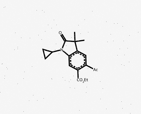 CCOC(=O)c1cc2c(cc1C(C)=O)C(C)(C)C(=O)N2C1CC1